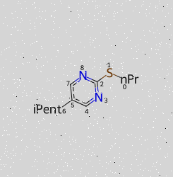 CCCSc1ncc(C(C)CCC)cn1